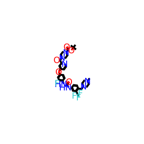 CN1CCN(Cc2ccc(NC(=O)Nc3ccc(Oc4ccnc(C(=O)N5CCN(C(=O)OC(C)(C)C)CC5)c4)cc3F)cc2C(F)(F)F)CC1